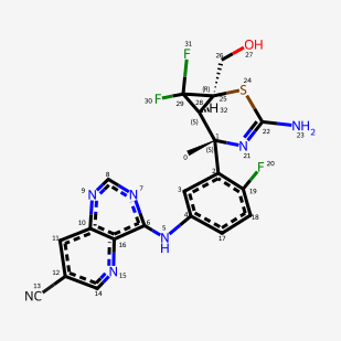 C[C@]1(c2cc(Nc3ncnc4cc(C#N)cnc34)ccc2F)N=C(N)S[C@@]2(CO)[C@@H]1C2(F)F